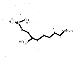 CCCCCCCCCCCCCCC(CCN(C)C)S(=O)(=O)O